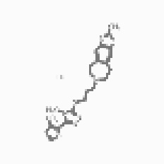 Cc1nc2cc3c(cc2s1)CCN(CCCSc1nnc(-c2ocnc2C)n1C)CC3.Cl